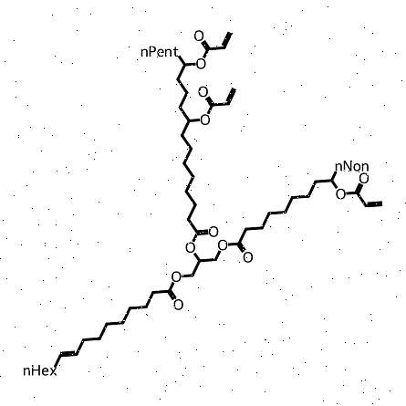 C=CC(=O)OC(CCCCCCCCC)CCCCCCCC(=O)OCC(COC(=O)CCCCCCC/C=C/CCCCCC)OC(=O)CCCCCCCC(CCCC(CCCCC)OC(=O)C=C)OC(=O)C=C